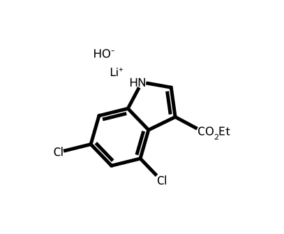 CCOC(=O)c1c[nH]c2cc(Cl)cc(Cl)c12.[Li+].[OH-]